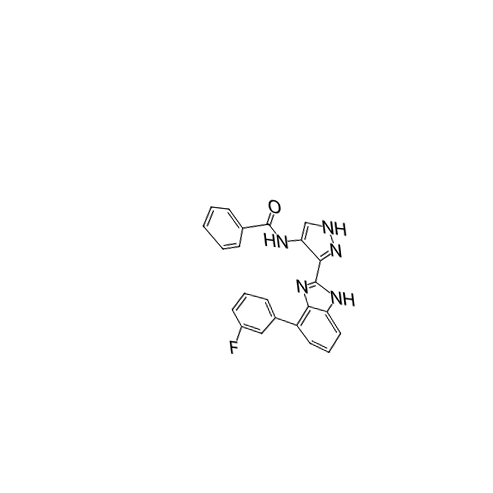 O=C(Nc1c[nH]nc1-c1nc2c(-c3cccc(F)c3)cccc2[nH]1)c1ccccc1